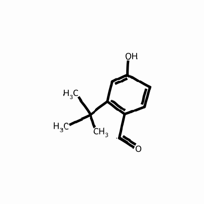 CC(C)(C)c1cc(O)ccc1[C]=O